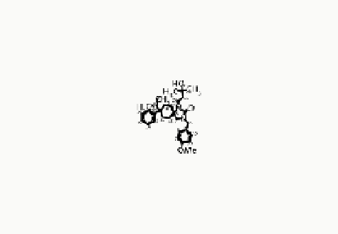 COc1ccc(CN2CC3(CCC(c4ccccc4)(N(C)C)CC3)N(CCC(C)(C)O)C2=O)cc1